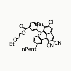 CCCCCc1cccc(-c2c(C#N)c(C#N)cc3cc(Cl)c(C(C)(C)C)c(Oc4cccc(C(=O)OCCOCC)c4)c23)c1